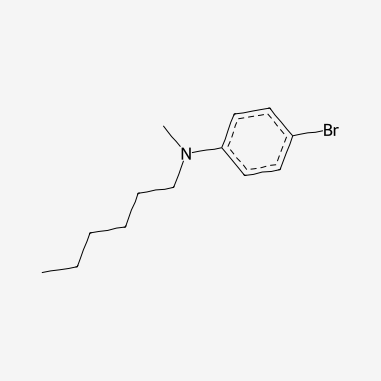 CCCCCCN(C)c1ccc(Br)cc1